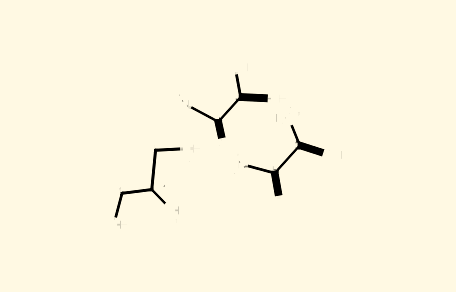 C=C(C)C(N)=O.C=C(C)C(N)=O.OCC(O)CO